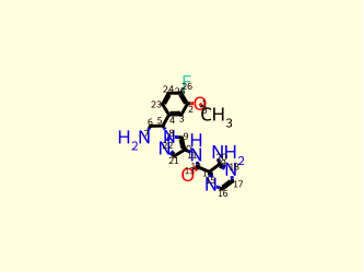 COc1cc(C(CN)n2cc(NC(=O)c3nccnc3N)cn2)ccc1F